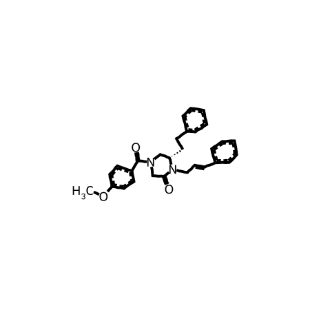 COc1ccc(C(=O)N2CC(=O)N(C/C=C/c3ccccc3)[C@@H](CCc3ccccc3)C2)cc1